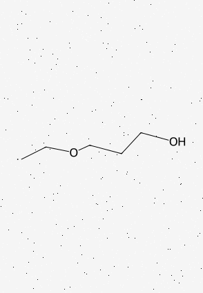 [CH2]COCCCO